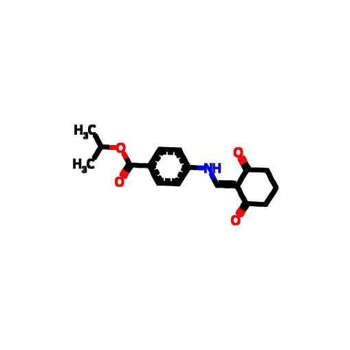 CC(C)OC(=O)c1ccc(NC=C2C(=O)CCCC2=O)cc1